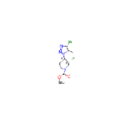 Cc1c(Br)nnn1[C@@H]1CCN(C(=O)OC(C)(C)C)C[C@H]1F